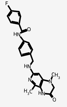 Cc1nc(NCc2ccc(NC(=O)c3ccc(F)cc3)cc2)cc2c1NC(=O)CN2C